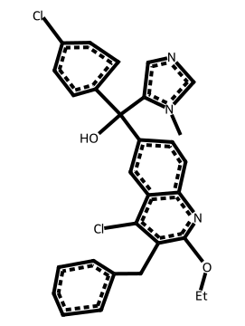 CCOc1nc2ccc(C(O)(c3ccc(Cl)cc3)c3cncn3C)cc2c(Cl)c1Cc1ccccc1